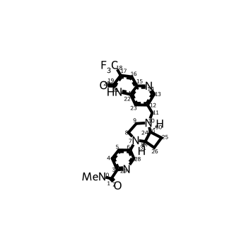 CNC(=O)c1ccc(N2CCN(Cc3cnc4cc(C(F)(F)F)c(=O)[nH]c4c3)[C@H]3CC[C@H]32)cn1